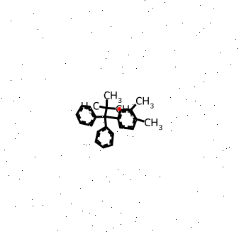 Cc1ccc(C(c2ccccc2)(c2ccccc2)C(C)(C)C)cc1C